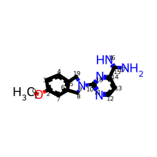 COc1ccc2c(c1)CN(c1nccc(C(=N)N)n1)C2